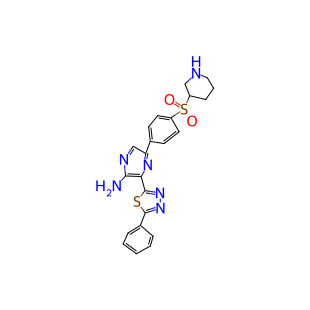 Nc1ncc(-c2ccc(S(=O)(=O)C3CCCNC3)cc2)nc1-c1nnc(-c2ccccc2)s1